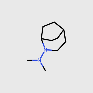 CN(C)N1CCC2CCC1CC2